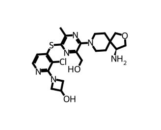 Cc1nc(N2CCC3(CC2)COC[C@H]3N)c(CO)nc1Sc1ccnc(N2CC(O)C2)c1Cl